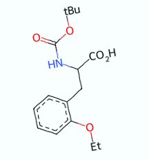 CCOc1ccccc1CC(NC(=O)OC(C)(C)C)C(=O)O